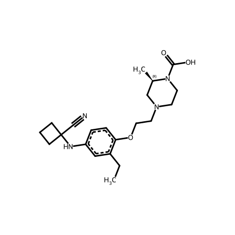 CCc1cc(NC2(C#N)CCC2)ccc1OCCN1CCN(C(=O)O)[C@H](C)C1